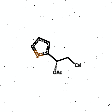 CC(=O)O[C@@H](CC#N)c1cccs1